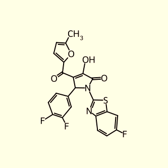 Cc1ccc(C(=O)C2=C(O)C(=O)N(c3nc4ccc(F)cc4s3)C2c2ccc(F)c(F)c2)o1